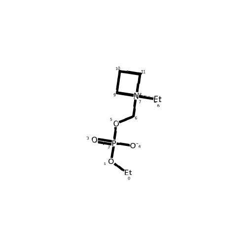 CCOP(=O)([O-])OC[N+]1(CC)CCC1